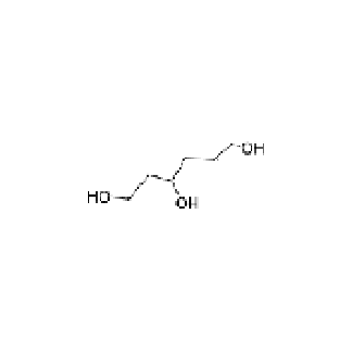 OC[CH]CC(O)CCO